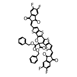 O=C1C(=Cc2cc3sc4c(c3s2)OC(C(=O)OCc2ccccc2)(C(=O)OCc2ccccc2)c2c-4sc3cc(C=C4C(=O)c5cc(F)c(F)cc5C4=O)sc23)C(=O)c2cc(F)c(F)cc21